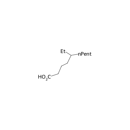 CCCCCC(CC)CCCC(=O)O